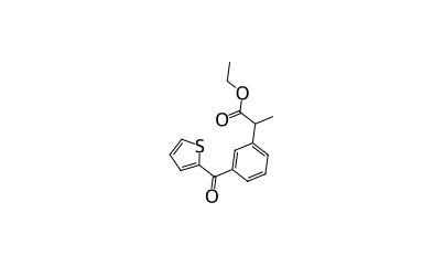 CCOC(=O)C(C)c1cccc(C(=O)c2cccs2)c1